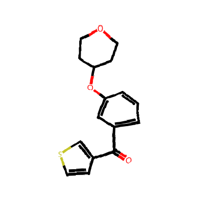 O=C(c1ccsc1)c1cccc(OC2CCOCC2)c1